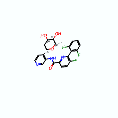 C[C@@H]1O[C@H](c2ccncc2NC(=O)c2ccc(F)c(-c3c(F)cccc3F)n2)C[C@@H](O)[C@H]1O